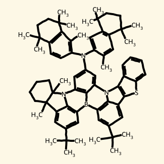 Cc1cc2c(cc1N(c1cc3c4c(c1)-n1c5c(cc(C(C)(C)C)cc5c5sc6ccccc6c51)B4c1cc(C(C)(C)C)cc4c1N3C1(C)CCCCC41C)c1ccc3c(c1C)C(C)(C)CCC3(C)C)C(C)(C)CCC2(C)C